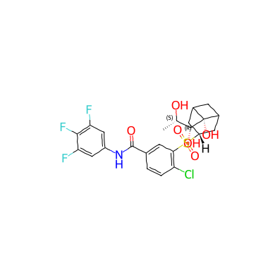 C[C@H](O)[C@@H](O)[C@]1(O)C2CC1C[C@@H](S(=O)(=O)c1cc(C(=O)Nc3cc(F)c(F)c(F)c3)ccc1Cl)C2